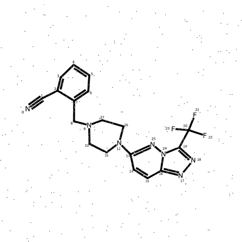 N#Cc1ccccc1CN1CCN(c2ccc3nnc(C(F)(F)F)n3n2)CC1